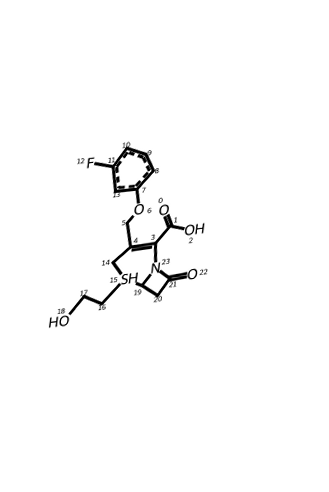 O=C(O)C1=C(COc2cccc(F)c2)C[SH](CCO)C2CC(=O)N12